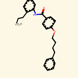 O=C(O)CCc1ccccc1NC(=O)c1ccc(OCCCCc2ccccc2)cc1